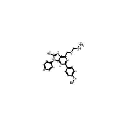 CCOc1ccc(-c2nc(COCNN)c3nc(S)n(-c4ccccc4)c3n2)cc1